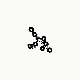 c1ccc(-c2ccc(-c3nc(-c4ccc5oc6ccccc6c5c4)nc(-c4cccc5c4oc4c5ccc5c4c4ccccc4n5-c4ccccc4)n3)cc2)cc1